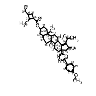 COc1ccc(-c2nnc(C34CCC5C(CCC6C7(C)CCC(OC(=O)C8CC(C=O)C8C)CC7CCC56C)C3=C(C(C)C)C(=O)C4)o2)cc1